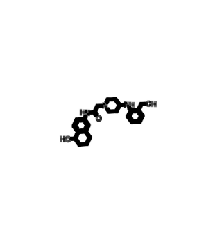 O=C(CN1CCC(Nc2ccccc2CO)CC1)Nc1ccc2c(c1)CCCC2O